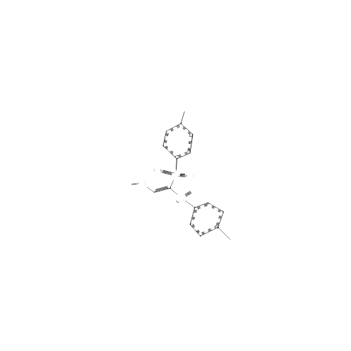 CCOC=C(S(=O)(=O)c1ccc(C)cc1)S(=O)(=O)c1ccc(C)cc1